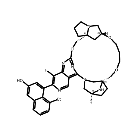 CCc1cccc2cc(O)cc(-c3ncc4c5nc(nc4c3F)OC[C@]34CCCN3C[C@@H](C4)OCCCOC[C@@]34CC[C@@H](CN5C3)N4)c12